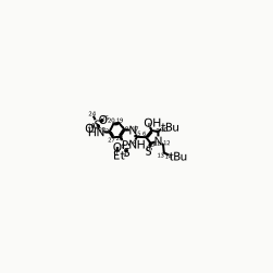 CCO[P@@]1(=S)NC(C2=C(O)C(C(C)(C)C)N(CCC(C)(C)C)C2=S)=Nc2ccc(NS(C)(=O)=O)cc21